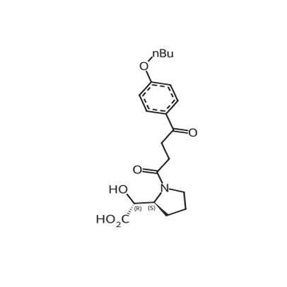 CCCCOc1ccc(C(=O)CCC(=O)N2CCC[C@H]2[C@@H](O)C(=O)O)cc1